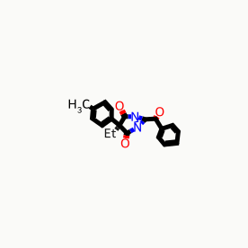 CCC1(c2ccc(C)cc2)C(=O)N2C(C(=O)c3ccccc3)N2C1=O